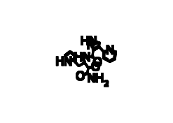 NC(=O)C(=O)C(Cc1ccc[nH]1)NC(=O)c1n[nH]cc1-c1ccccn1